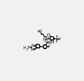 CN(C)CCCCNc1c(Cl)cc(C(F)(F)F)cc1NC(=O)c1cc(-c2ccc3nc(N)ncc3c2)ccc1F